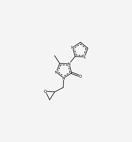 Cc1nn(CC2CO2)c(=O)n1-c1nccs1